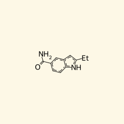 CCc1cc2cc(C(N)=O)ccc2[nH]1